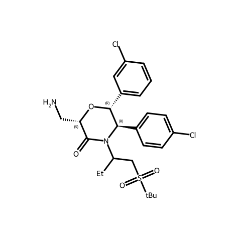 CCC(CS(=O)(=O)C(C)(C)C)N1C(=O)[C@H](CN)O[C@H](c2cccc(Cl)c2)[C@H]1c1ccc(Cl)cc1